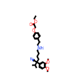 CCOC(=O)COc1ccc(CCNCCCCC(C#N)(c2ccc(OC)c(OC)c2)C(C)C)cc1